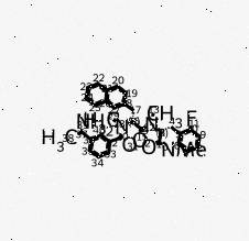 CNC(=O)[C@@H](Cc1ccccc1F)N(C)C(=O)[C@@H](Cc1ccc2ccccc2c1)N(C)C(=O)c1cccc(C(C)N)c1